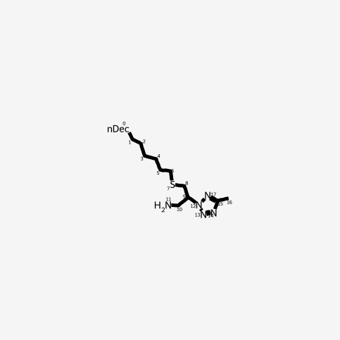 CCCCCCCCCCCCCCCCSCC(CN)n1nnc(C)n1